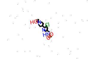 CB(O)N1CC=C(c2ncc(CNS(C)(=O)=O)cc2Cl)CC1